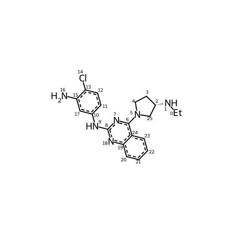 CCN[C@H]1CCN(c2nc(Nc3ccc(Cl)c(N)c3)nc3ccccc23)C1